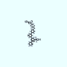 CC(C)(C)OC(=O)N1CCN(Cc2ccc(-c3cncc(-c4cc(-c5ccccn5)nc(C(C)(C)O)c4)c3)cc2)CC1